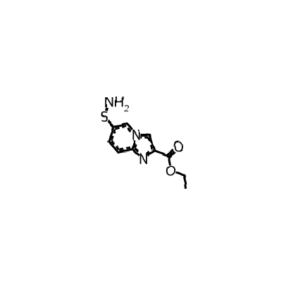 CCOC(=O)c1cn2cc(SN)ccc2n1